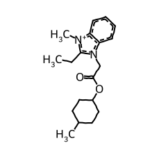 CCc1n(CC(=O)OC2CCC(C)CC2)c2ccccc2[n+]1C